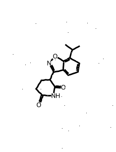 CC(C)c1cccc2c(C3CCC(=O)NC3=O)noc12